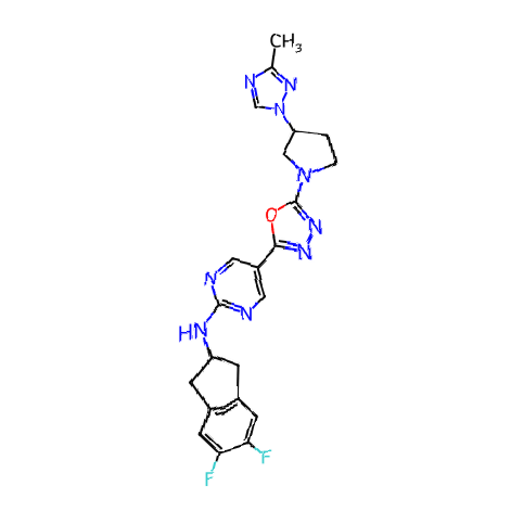 Cc1ncn(C2CCN(c3nnc(-c4cnc(NC5Cc6cc(F)c(F)cc6C5)nc4)o3)C2)n1